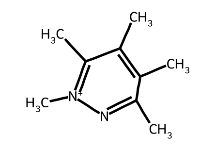 Cc1n[n+](C)c(C)c(C)c1C